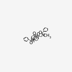 CN(CC(=O)N1CC[C@@H]2[C@H]1C(=O)CN2C(=O)c1ccccc1)C(=O)c1ccccc1